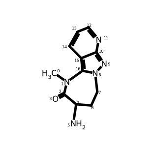 CN1C(=O)C(N)CCn2nc3ncccc3c21